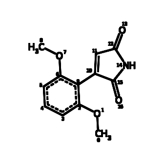 COc1cccc(OC)c1C1=CC(=O)NC1=O